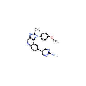 COc1ccc(-n2c(C)nc3cnc4ccc(-c5cnc(N)nc5)cc4c32)cc1